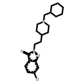 O=c1c2ccc(Cl)cc2on1CCC1CCN(CC2CCCCC2)CC1